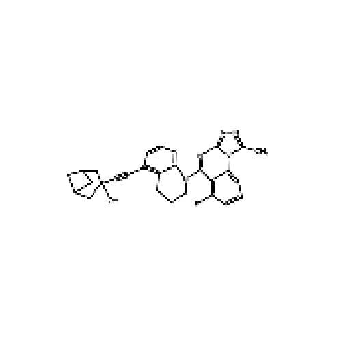 Cc1nnc2nc(N3CCCc4c(C#CC5(O)CC6CC(C6)C5)cccc43)c3c(F)cccc3n12